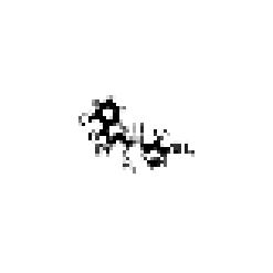 CC(C)n1c([C@H](C)Nc2ncnc(N)c2C#N)nc2cccc(Cl)c2c1=O